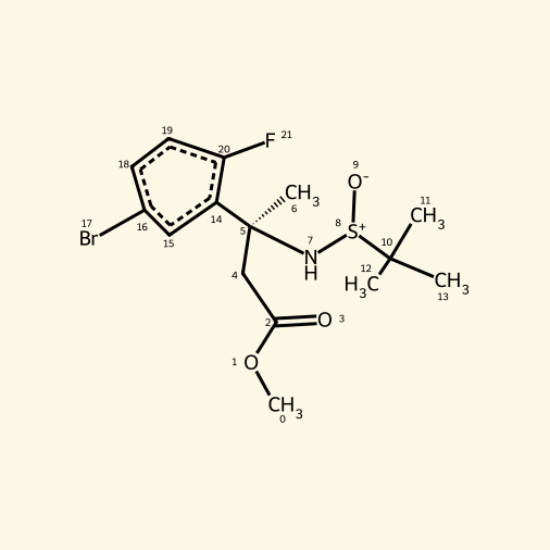 COC(=O)C[C@](C)(N[S+]([O-])C(C)(C)C)c1cc(Br)ccc1F